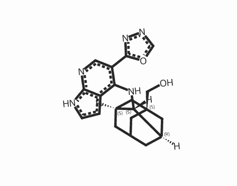 OC[C@]12CC3C[C@H](C1)[C@@H](Nc1c(-c4nnco4)cnc4[nH]ccc14)[C@@H](C3)C2